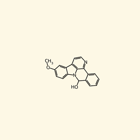 COc1ccc2c(c1)c1ccnc3c1n2C(O)c1ccccc1-3